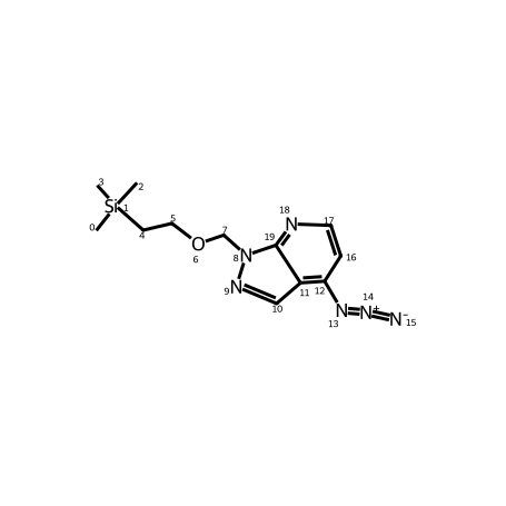 C[Si](C)(C)CCOCn1ncc2c(N=[N+]=[N-])ccnc21